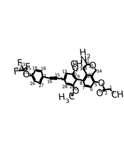 CCC(=O)Oc1ccc(-c2c(OC)cc(C#Cc3ccc(OC(F)(F)F)cc3)cc2OC)c2c1CO[C@H](N)C2